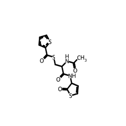 CC(=O)NC(CSC(=O)c1cccs1)C(=O)NC1C=CSC1=O